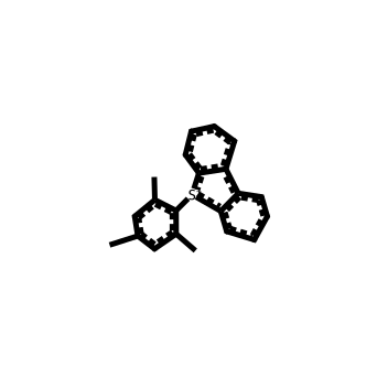 Cc1cc(C)c(-[s+]2c3ccccc3c3ccccc32)c(C)c1